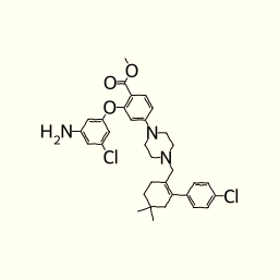 COC(=O)c1ccc(N2CCN(CC3=C(c4ccc(Cl)cc4)CC(C)(C)CC3)CC2)cc1Oc1cc(N)cc(Cl)c1